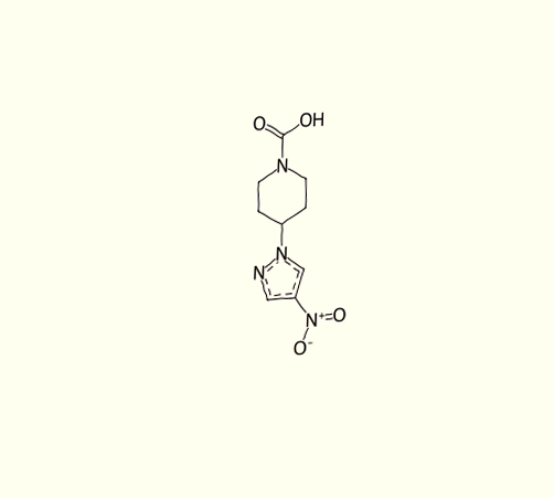 O=C(O)N1CCC(n2cc([N+](=O)[O-])cn2)CC1